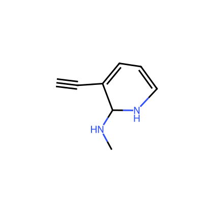 C#CC1=CC=CNC1NC